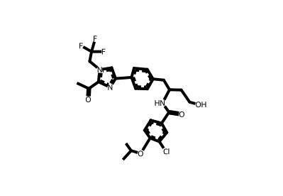 CC(=O)c1nc(-c2ccc(CC(CCO)NC(=O)c3ccc(OC(C)C)c(Cl)c3)cc2)cn1CC(F)(F)F